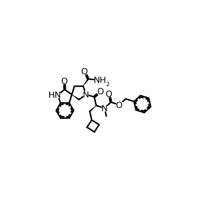 CN(C(=O)OCc1ccccc1)[C@@H](CC1CCC1)C(=O)N1C[C@]2(C[C@H]1C(N)=O)C(=O)Nc1ccccc12